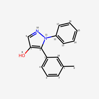 Cc1cccc(-c2c(O)cnn2-c2ccccc2)c1